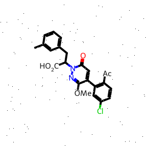 COc1nn(C(Cc2cccc(C)c2)C(=O)O)c(=O)cc1-c1cc(Cl)ccc1C(C)=O